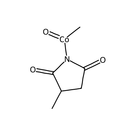 CC1CC(=O)[N]([Co]([CH3])=[O])C1=O